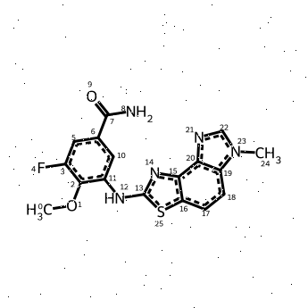 COc1c(F)cc(C(N)=O)cc1Nc1nc2c(ccc3c2ncn3C)s1